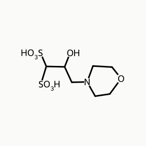 O=S(=O)(O)C(C(O)CN1CCOCC1)S(=O)(=O)O